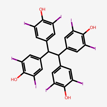 Oc1c(I)cc(C(c2cc(I)c(O)c(I)c2)C(c2cc(I)c(O)c(I)c2)c2cc(I)c(O)c(I)c2)cc1I